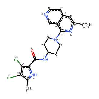 Cc1[nH]c(C(=O)NC2CCN(c3nc(C(=O)O)cc4ccncc34)CC2)c(Cl)c1Cl